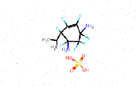 CC(C)C1(F)C(F)=C(F)C(N)(F)C(F)(F)C1(N)F.O=S(=O)(O)O